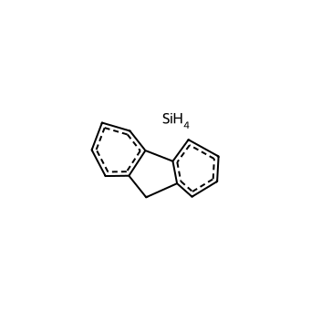 [SiH4].c1ccc2c(c1)Cc1ccccc1-2